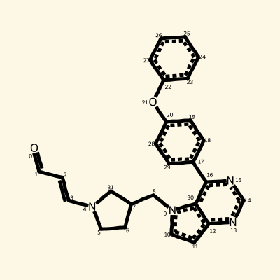 O=CC=CN1CCC(Cn2ccc3ncnc(-c4ccc(Oc5ccccc5)cc4)c32)C1